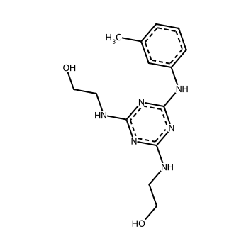 Cc1cccc(Nc2nc(NCCO)nc(NCCO)n2)c1